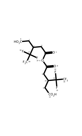 O=C(O)CC(CC(=O)OC(=O)CC(CC(=O)O)C(F)(F)C(F)(F)F)C(F)(F)C(F)(F)F